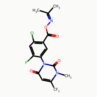 CC(C)=NOC(=O)c1cc(-n2c(=O)cc(C(F)(F)F)n(C)c2=O)c(F)cc1Cl